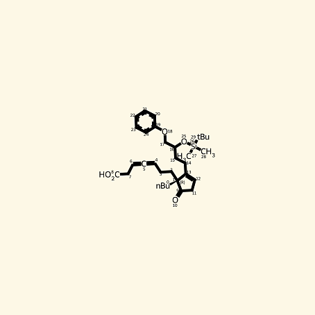 CCCC[C@]1(CCC=C=CCC(=O)O)C(=O)CC=C1CCC(COc1ccccc1)O[Si](C)(C)C(C)(C)C